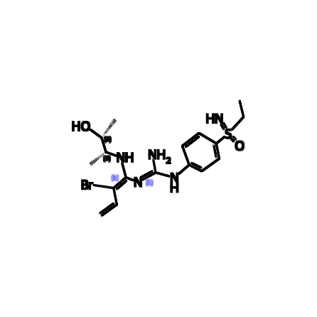 C=C/C(Br)=C(\N=C(/N)Nc1ccc(S(=N)(=O)CC)cc1)N[C@H](C)[C@@H](C)O